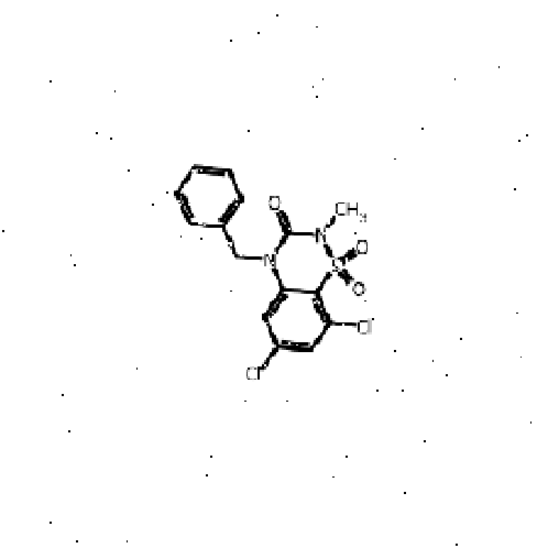 CN1C(=O)N(Cc2ccccc2)c2cc(Cl)cc(Cl)c2S1(=O)=O